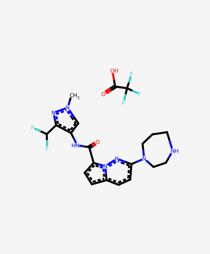 Cn1cc(NC(=O)c2ccc3ccc(N4CCCNCC4)nn23)c(C(F)F)n1.O=C(O)C(F)(F)F